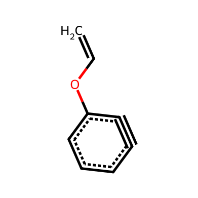 C=COc1c#cccc1